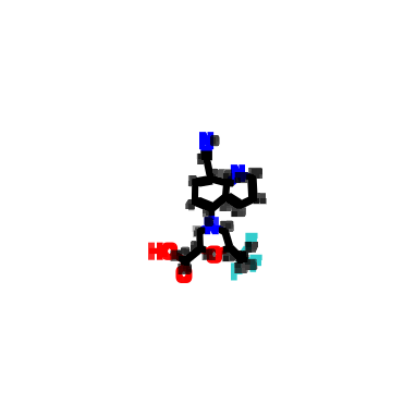 N#Cc1ccc(N2CC(C(=O)O)OC(C(F)(F)F)C2)c2cccnc12